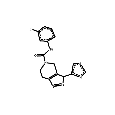 O=C(Nc1cccc(Cl)c1)N1CCC2=C(C1)C(c1cscn1)N=N2